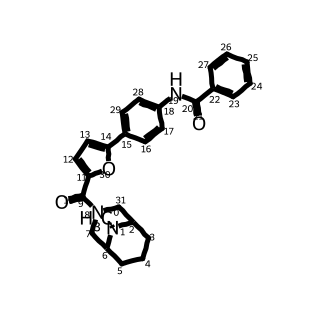 CN1C2CCCC1CN(C(=O)c1ccc(-c3ccc(NC(=O)c4ccccc4)cc3)o1)C2